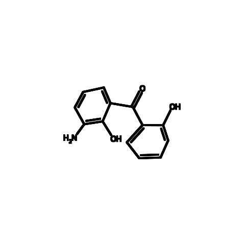 Nc1cccc(C(=O)c2ccccc2O)c1O